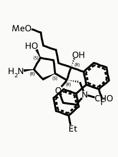 CCc1cccc(-c2c(F)cccc2[C@](O)(CCCCOC)[C@@]2([C@H]3C[C@@H](N)[C@@H](O)C3)CN(C=O)CCO2)c1